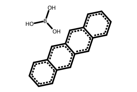 OB(O)O.c1ccc2cc3cc4ccccc4cc3cc2c1